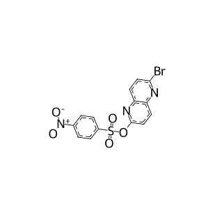 O=[N+]([O-])c1ccc(S(=O)(=O)Oc2ccc3nc(Br)ccc3n2)cc1